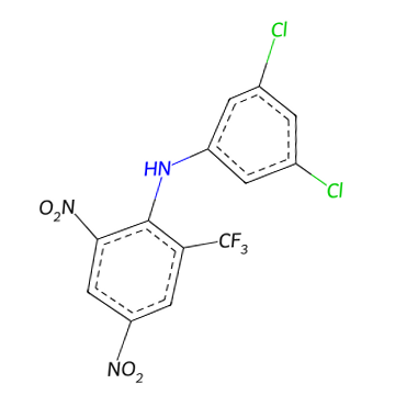 O=[N+]([O-])c1cc([N+](=O)[O-])c(Nc2cc(Cl)cc(Cl)c2)c(C(F)(F)F)c1